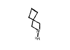 [2H]N1CC2(CCC2)C1